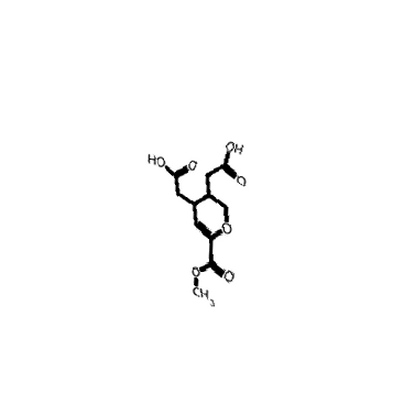 COC(=O)C1=CC(CC(=O)O)C(CC(=O)O)CO1